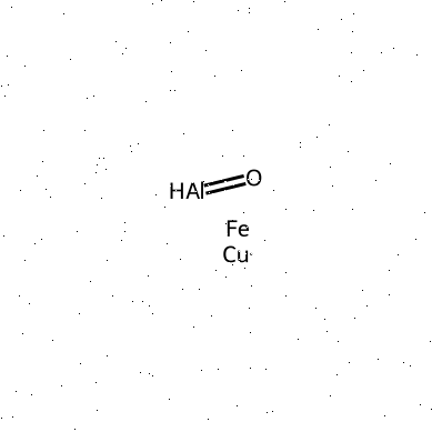 [Cu].[Fe].[O]=[AlH]